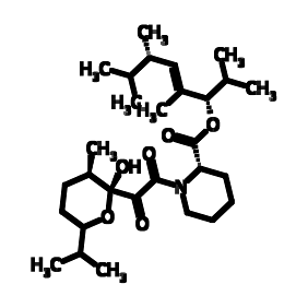 C/C(=C\[C@@H](C)C(C)C)[C@@H](OC(=O)[C@@H]1CCCCN1C(=O)C(=O)[C@]1(O)OC(C(C)C)CC[C@H]1C)C(C)C